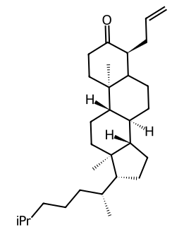 C=CC[C@@H]1C(=O)CC[C@@]2(C)C1CC[C@H]1[C@@H]3CC[C@H]([C@H](C)CCCC(C)C)[C@@]3(C)CC[C@@H]12